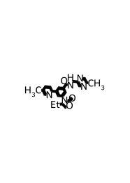 CCC1COC(=O)N1c1cc(C(=O)NCc2cnc(C)cn2)cc(-c2ccc(C)cn2)c1